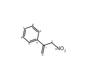 C=C(C[N+](=O)[O-])c1ccccc1